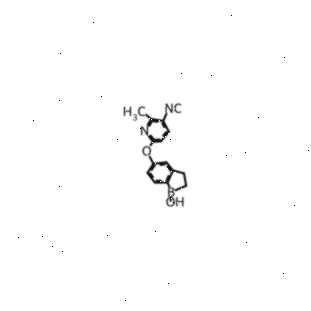 [C-]#[N+]c1ccc(Oc2ccc3c(c2)CCB3O)nc1C